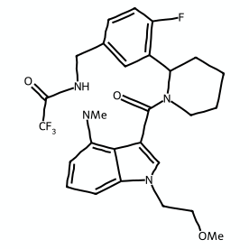 CNc1cccc2c1c(C(=O)N1CCCCC1c1cc(CNC(=O)C(F)(F)F)ccc1F)cn2CCOC